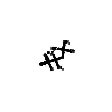 CCC(C)(C)CC(C)(C)S(=O)(=O)Cl